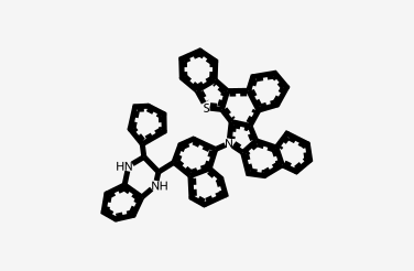 c1ccc(C2Nc3ccccc3NC2c2ccc(-n3c4ccc5ccccc5c4c4c5ccccc5c5c6ccccc6sc5c43)c3ccccc23)cc1